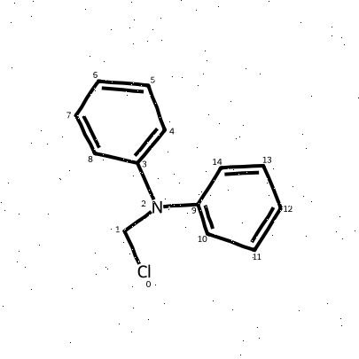 ClCN(c1ccccc1)c1ccccc1